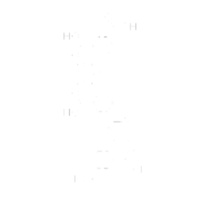 O=C(O)c1ccc(C(=O)OC(=O)c2ccc(C(=O)OC(=O)c3ccc(C(=O)O)cc3C(=O)O)c(C(=O)O)c2)c(C(=O)O)c1